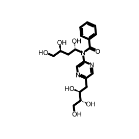 O=C(c1ccccc1)N(c1cnc(C[C@H](O)[C@H](O)CO)cn1)[C@@H](O)C[C@H](O)CO